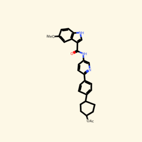 COc1ccc2[nH]cc(C(=O)Nc3ccc(-c4ccc(C5CCC(OC(C)=O)CC5)cc4)nc3)c2c1